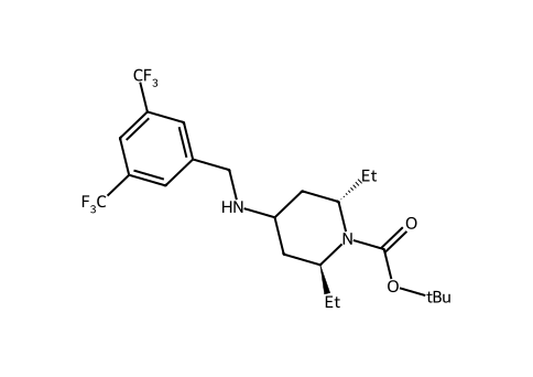 CC[C@H]1CC(NCc2cc(C(F)(F)F)cc(C(F)(F)F)c2)C[C@H](CC)N1C(=O)OC(C)(C)C